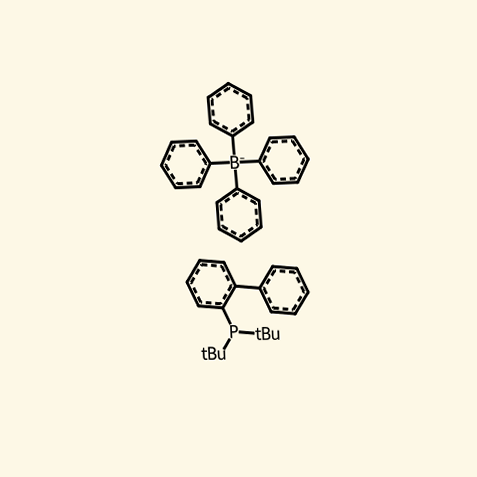 CC(C)(C)P(c1ccccc1-c1ccccc1)C(C)(C)C.c1ccc([B-](c2ccccc2)(c2ccccc2)c2ccccc2)cc1